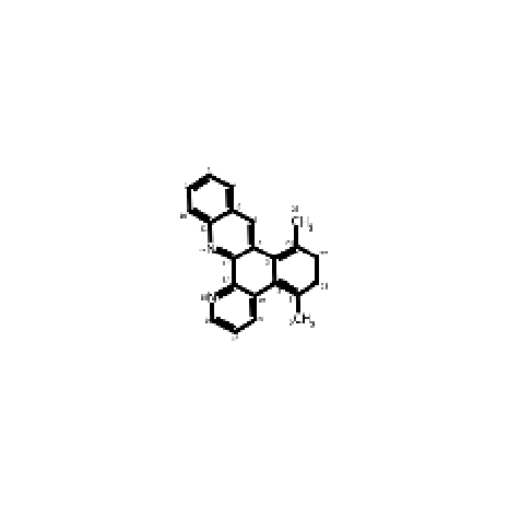 CC1=c2c(c3cc4ccccc4nc3c3ncccc23)=C(C)CC1